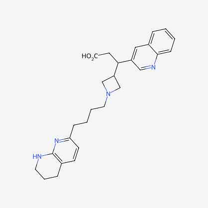 O=C(O)CC(c1cnc2ccccc2c1)C1CN(CCCCc2ccc3c(n2)NCCC3)C1